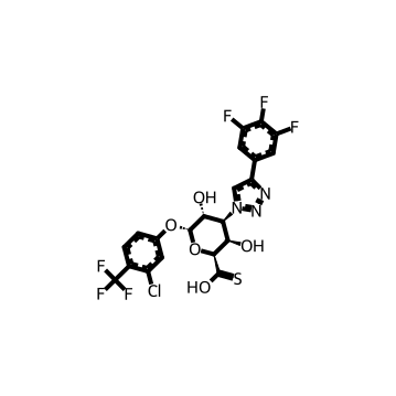 OC(=S)[C@H]1O[C@H](Oc2ccc(C(F)(F)F)c(Cl)c2)[C@H](O)[C@@H](n2cc(-c3cc(F)c(F)c(F)c3)nn2)[C@H]1O